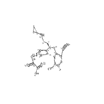 N#Cc1cc(F)c(Cl)cc1O[C@H](CCNC1CC1)c1ccoc1.O=C(O)C(=O)O